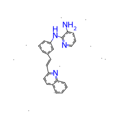 Nc1cccnc1Nc1cccc(C=Cc2ccc3ccccc3n2)c1